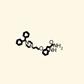 NC(=O)c1cc2c(OCCCN3CCN(C(c4ccccc4)c4ccccc4)CC3)cccc2[nH]1